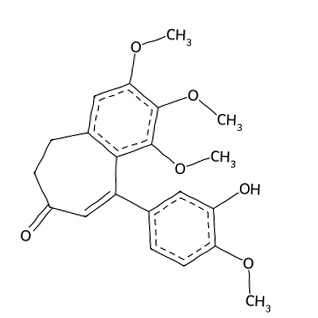 COc1ccc(C2=CC(=O)CCc3cc(OC)c(OC)c(OC)c32)cc1O